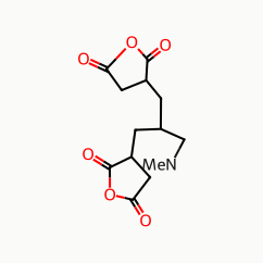 CNCC(CC1CC(=O)OC1=O)CC1CC(=O)OC1=O